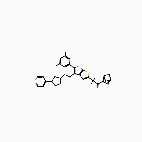 Cc1cc(C)cc(-c2[nH]c3sc(C(C)(C)C(=O)C4C=C5CC4C5)cc3c2CCC2CCC(c3ccncc3)C2)c1